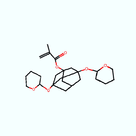 C=C(C)C(=O)OC12CC3CC(OC4CCCCO4)(C1)CC(OC1CCCCO1)(C3)C2